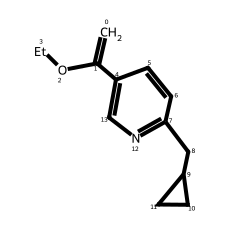 C=C(OCC)c1ccc(CC2CC2)nc1